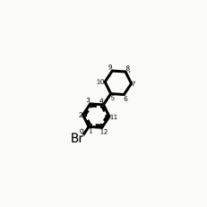 Brc1ccc(C2CC[CH]CC2)cc1